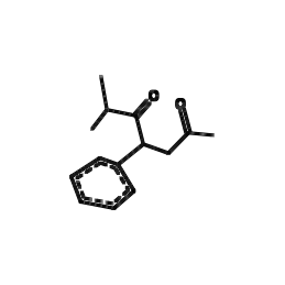 CC(=O)CC(C(=O)C(C)C)c1ccccc1